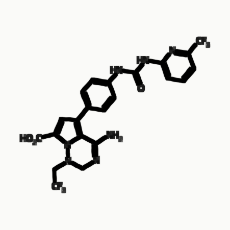 NC1=NCN(CC(F)(F)F)n2c(C(=O)O)cc(-c3ccc(NC(=O)Nc4cccc(C(F)(F)F)n4)cc3)c21